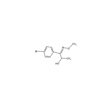 CON=C(c1ccc(Br)cc1)C(C)O